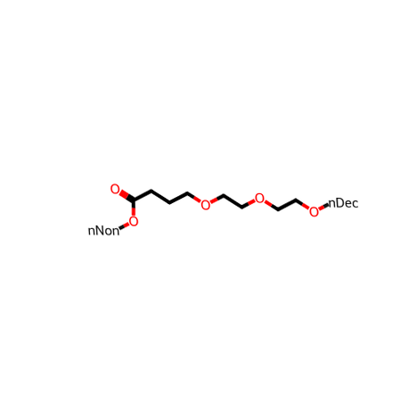 CCCCCCCCCCOCCOCCOCCCC(=O)OCCCCCCCCC